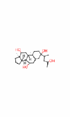 CC(O)CC(C)[C@@]1(O)CC[C@@]2(C)C(C[C@@H](O)[C@H]3[C@@H]4CCC[C@@]4(C)[C@@H](O)C[C@@H]32)C1